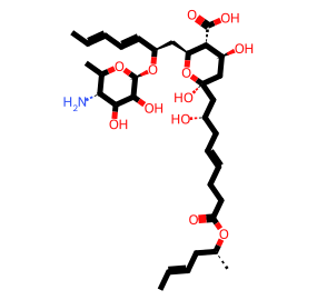 C/C=C/C=C/[C@@H](C[C@@H]1O[C@](O)(C[C@@H](O)C/C=C/CCC(=O)O[C@H](C)C/C=C/C)C[C@H](O)[C@H]1C(=O)O)O[C@@H]1OC(C)[C@@H](N)C(O)C1O